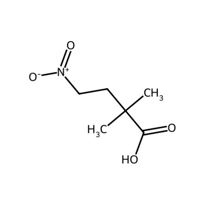 CC(C)(CC[N+](=O)[O-])C(=O)O